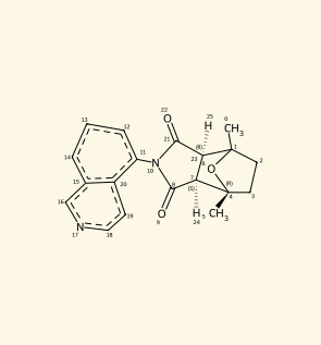 CC12CC[C@@](C)(O1)[C@H]1C(=O)N(c3cccc4cnccc34)C(=O)[C@H]12